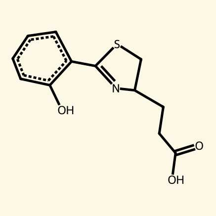 O=C(O)CCC1CSC(c2ccccc2O)=N1